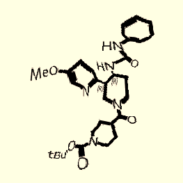 COc1ccc([C@@H]2CN(C(=O)C3CCN(C(=O)OC(C)(C)C)CC3)CC[C@H]2NC(=O)Nc2ccccc2)nc1